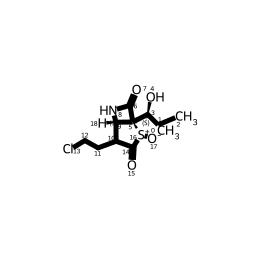 CC(C)[C@H](O)[C@]12C(=O)N[C@H]1C(CCCl)C(=O)[S+]2[O-]